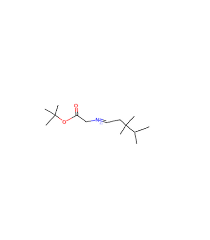 CC(C)C(C)(C)C/C=N/CC(=O)OC(C)(C)C